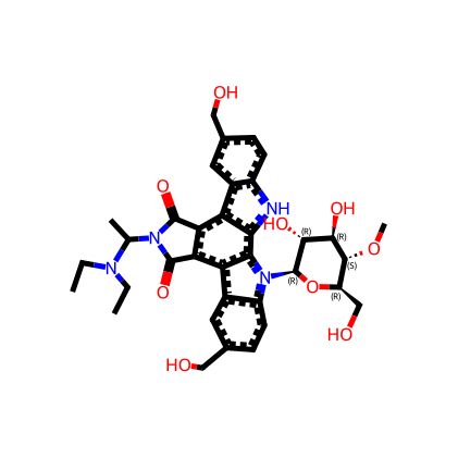 CCN(CC)C(C)N1C(=O)c2c(c3c4cc(CO)ccc4n([C@@H]4O[C@H](CO)[C@@H](OC)[C@H](O)[C@H]4O)c3c3[nH]c4ccc(CO)cc4c23)C1=O